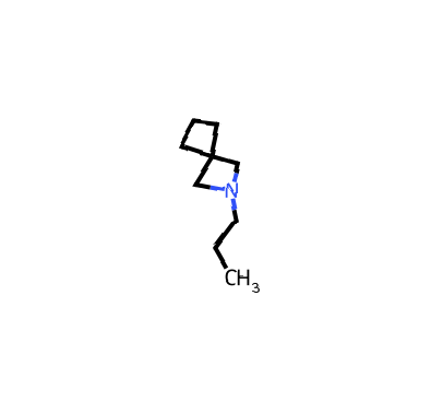 CCCN1CC2(CCC2)C1